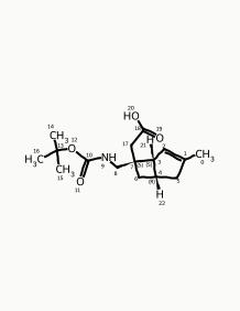 CC1=C[C@@H]2[C@H](C1)C[C@]2(CNC(=O)OC(C)(C)C)CC(=O)O